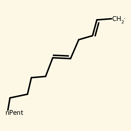 [CH2]C=CCC=CCCCCCCCCC